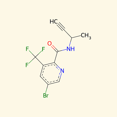 C#CC(C)NC(=O)c1ncc(Br)cc1C(F)(F)F